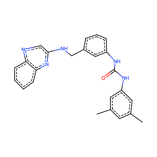 Cc1cc(C)cc(NC(=O)Nc2cccc(CNc3cnc4ccccc4n3)c2)c1